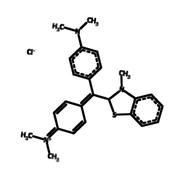 CN(C)c1ccc(C(=C2C=CC(=[N+](C)C)C=C2)C2Sc3ccccc3N2C)cc1.[Cl-]